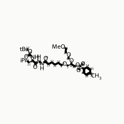 COCCOCO[C@H](COCCCCCC(=O)NNC(=O)[C@@H](CC(C)C)NC(=O)OC(C)(C)C)COS(=O)(=O)c1ccc(C)cc1